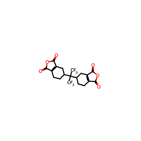 O=C1OC(=O)C2=C1CCC(C(C1CCC3=C(C1)C(=O)OC3=O)(C(F)(F)F)C(F)(F)F)C2